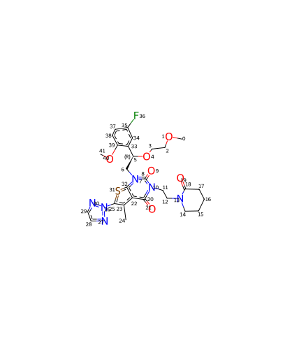 COCCO[C@@H](Cn1c(=O)n(CCN2CCCCC2=O)c(=O)c2c(C)c(-n3nccn3)sc21)c1cc(F)ccc1OC